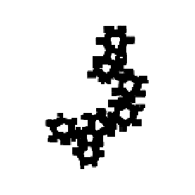 c1ccc(-n2c3ccccc3c3cc(-c4cccc(-c5cccc(-c6ncnc7c6oc6ccccc67)c5)c4)ccc32)cc1